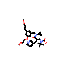 COCCCc1cc(CN(C(=O)C(Cc2cccnc2)CN(C(=O)O)C(C)(C)C)C2CC2)cc(OCCOC)c1